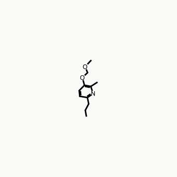 CCCc1ccc(OCOC)c(C)n1